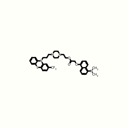 CN(C)c1cccc2c(OCC(=O)OCCN3CCN(CCCN4c5ccccc5Sc5ccc(C(F)(F)F)cc54)CC3)cccc12